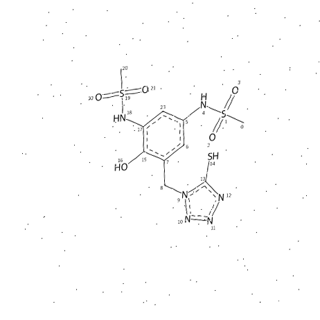 CS(=O)(=O)Nc1cc(Cn2nnnc2S)c(O)c(NS(C)(=O)=O)c1